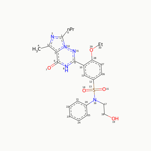 CCCc1nc(C)c2c(=O)[nH]c(-c3cc(S(=O)(=O)N(CCO)c4ccccc4)ccc3OCC)nn12